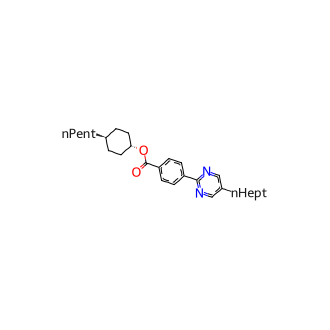 CCCCCCCc1cnc(-c2ccc(C(=O)O[C@H]3CC[C@H](CCCCC)CC3)cc2)nc1